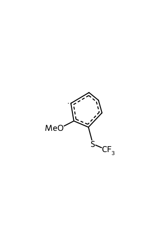 COc1[c]cccc1SC(F)(F)F